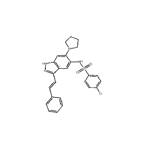 O=S(=O)(Nc1cc2c(/C=C/c3ccccc3)n[nH]c2cc1N1CCCC1)c1ccc(Cl)cc1